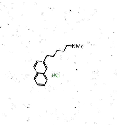 CNCCCCCc1ccc2ccccc2c1.Cl